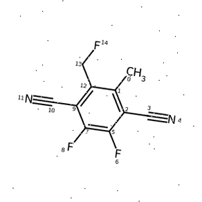 Cc1c(C#N)c(F)c(F)c(C#N)c1CF